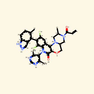 C=CC(=O)N1CC2COc3c(c4cc(F)c(-c5c(C)ccc6[nH]ncc56)c(F)c4n(-c4c(C(C)C)ncnc4C(C)C)c3=O)N2CC1C